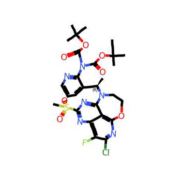 C[C@H](c1cccnc1N(C(=O)OC(C)(C)C)C(=O)OC(C)(C)C)N1CCOc2nc(Cl)c(F)c3nc(S(C)(=O)=O)nc1c23